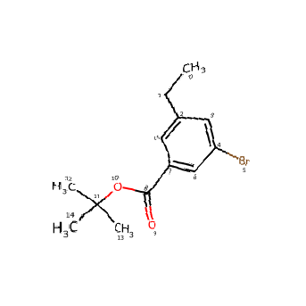 CCc1cc(Br)cc(C(=O)OC(C)(C)C)c1